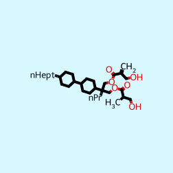 C=C(CO)C(=O)OCC(CCC)(COC(=O)C(C)CO)C1CCC(C2CCC(CCCCCCC)CC2)CC1